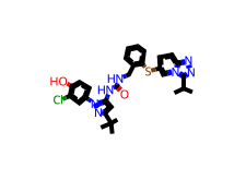 CC(C)c1nnc2ccc(Sc3ccccc3CNC(=O)Nc3cc(C(C)(C)C)nn3-c3ccc(O)c(Cl)c3)cn12